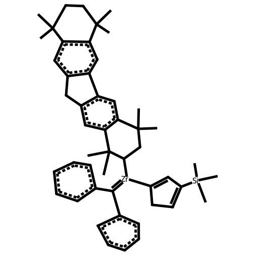 CC1(C)CCC(C)(C)c2cc3c(cc21)Cc1cc2c(cc1-3)C(C)(C)C[CH]([Zr]([C]1=CC([Si](C)(C)C)=CC1)=[C](c1ccccc1)c1ccccc1)C2(C)C